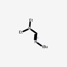 CCN(/C=N/C(C)(C)C)CC